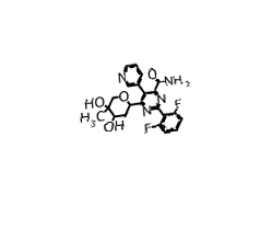 CC1(O)COC(c2nc(-c3c(F)cccc3F)nc(C(N)=O)c2-c2cccnc2)CC1O